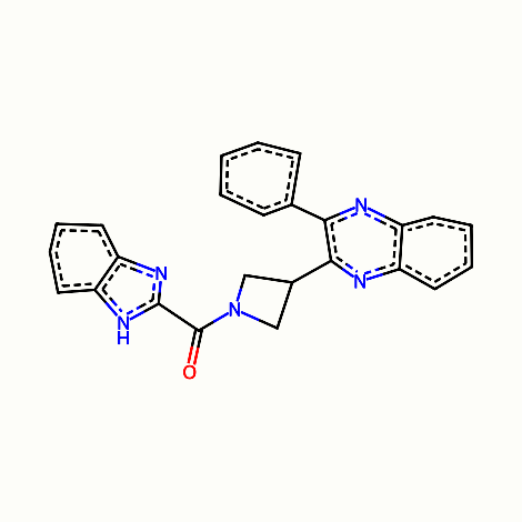 O=C(c1nc2ccccc2[nH]1)N1CC(c2nc3ccccc3nc2-c2ccccc2)C1